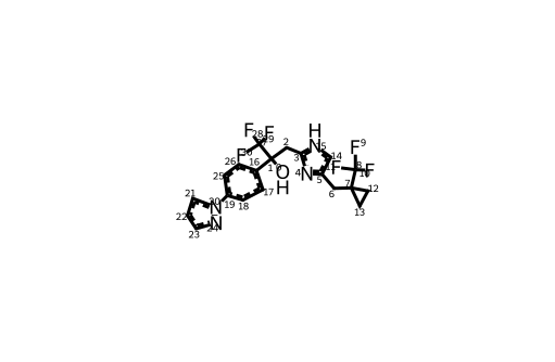 OC(Cc1nc(CC2(C(F)(F)F)CC2)c[nH]1)(c1ccc(-n2cccn2)cc1)C(F)(F)F